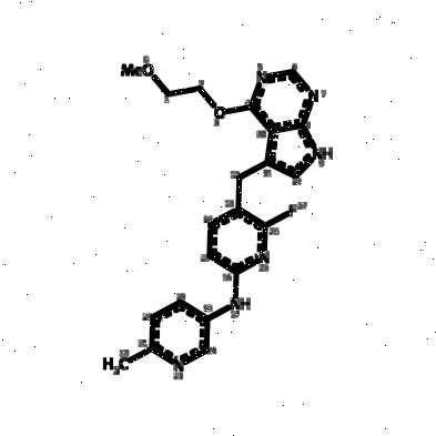 COCCOc1ncnc2[nH]cc(Cc3ccc(Nc4ccc(C)nc4)nc3F)c12